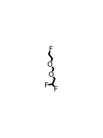 FCCOCOCC(F)F